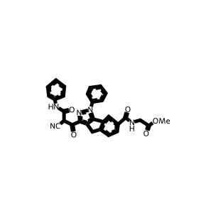 COC(=O)CNC(=O)c1ccc2c(c1)-c1c(c(C(=O)C(C#N)C(=O)Nc3ccccc3)nn1-c1ccccc1)C2